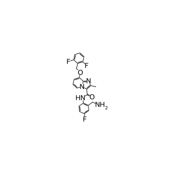 Cc1nc2c(OCc3c(F)cccc3F)cccn2c1C(=O)Nc1ccc(F)cc1CN